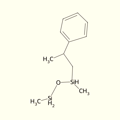 C[SiH2]O[SiH](C)CC(C)c1ccccc1